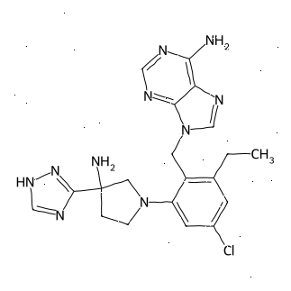 CCc1cc(Cl)cc(N2CCC(N)(c3nc[nH]n3)C2)c1Cn1cnc2c(N)ncnc21